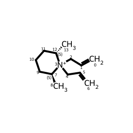 C=CC[N+]1(CC=C)[C@@H](C)CCC[C@@H]1C